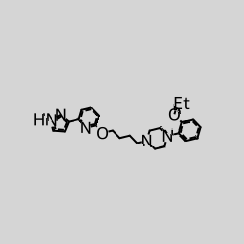 CCOc1ccccc1N1CCN(CCCCOc2cccc(-c3cc[nH]n3)n2)CC1